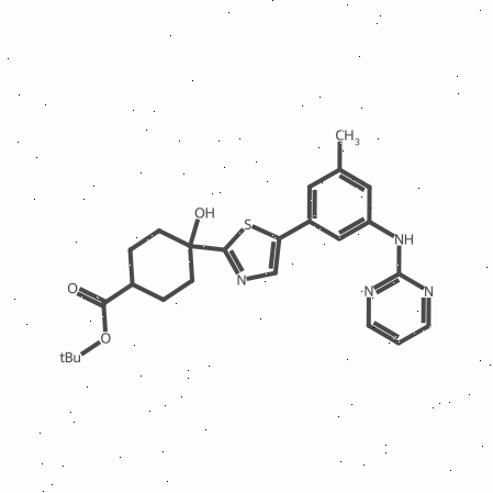 Cc1cc(Nc2ncccn2)cc(-c2cnc(C3(O)CCC(C(=O)OC(C)(C)C)CC3)s2)c1